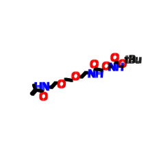 C=C(C)C(=O)NCCOCCOCCNC(=O)CONC(=O)OC(C)(C)C